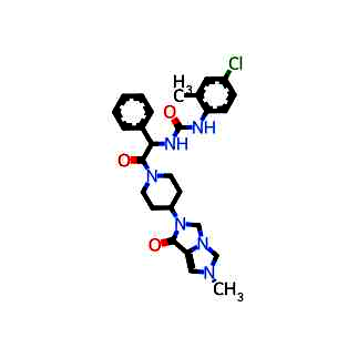 Cc1cc(Cl)ccc1NC(=O)NC(C(=O)N1CCC(N2CN3CN(C)C=C3C2=O)CC1)c1ccccc1